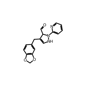 O=CC1C(Cc2ccc3c(c2)OCO3)=CNN1c1ccccn1